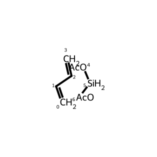 C=CC=C.CC(=O)O[SiH2]OC(C)=O